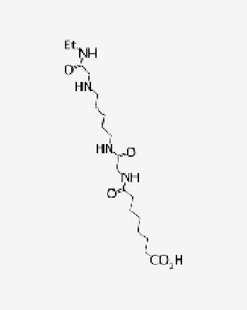 CCNC(=O)CNCCCCCNC(=O)CNC(=O)CCCCCCC(=O)O